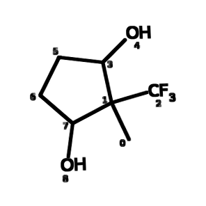 CC1(C(F)(F)F)C(O)CCC1O